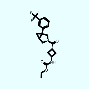 CCOC(=O)N[C@H]1C[C@@H](C(=O)N2CC3CC3(c3cccc(C(F)(F)F)c3)C2)C1